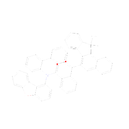 CC1(C)c2ccccc2-c2c(-c3ccc(N(c4ccccc4-c4ccccc4)c4cccc5oc6ccccc6c45)c4ccccc34)cc3ccccc3c21